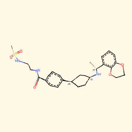 C[C@@H](N[C@H]1CC[C@@H](c2ccc(C(=O)NCCNS(C)(=O)=O)cc2)C1)c1cccc2c1OCCO2